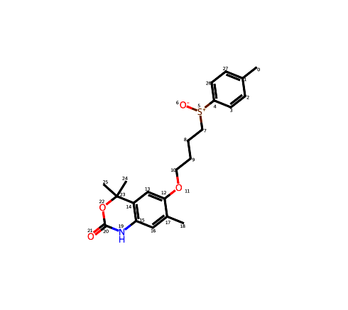 Cc1ccc([S+]([O-])CCCCOc2cc3c(cc2C)NC(=O)OC3(C)C)cc1